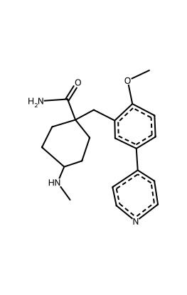 CNC1CCC(Cc2cc(-c3ccncc3)ccc2OC)(C(N)=O)CC1